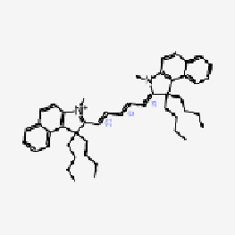 CCCCC1(CCCC)C(/C=C/C=C/C=C2\N(C)c3ccc4ccccc4c3C2(CCCC)CCCC)=[N+](C)c2ccc3ccccc3c21